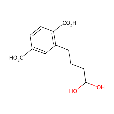 O=C(O)c1ccc(C(=O)O)c(CCCC(O)O)c1